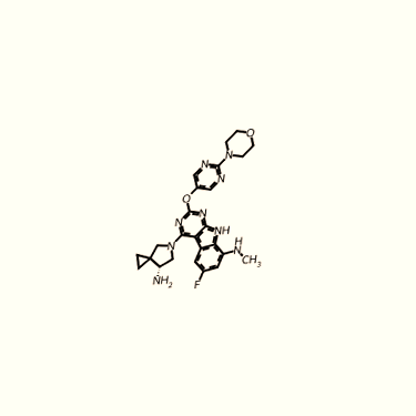 CNc1cc(F)cc2c1[nH]c1nc(Oc3cnc(N4CCOCC4)nc3)nc(N3C[C@H](N)C4(CC4)C3)c12